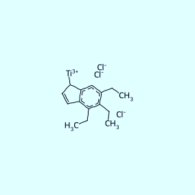 CCc1cc2c(c(CC)c1CC)C=C[CH]2[Ti+3].[Cl-].[Cl-].[Cl-]